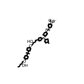 CCCC(O)COc1ccc(C(C)(C)c2ccc(OCC(O)CCc3ccc(N(c4ccc(C)cc4)c4ccc(N=Nc5ccc([N+](=O)[O-])cc5)cc4)cc3)cc2)cc1